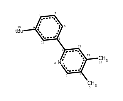 Cc1cnc(-c2cccc(C(C)(C)C)c2)cc1C